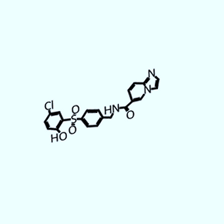 O=C(NCc1ccc(S(=O)(=O)c2cc(Cl)ccc2O)cc1)c1ccc2nccn2c1